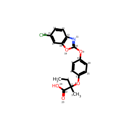 CCC(C)(Oc1ccc(Oc2nc3ccc(Cl)cc3o2)cc1)C(=O)O